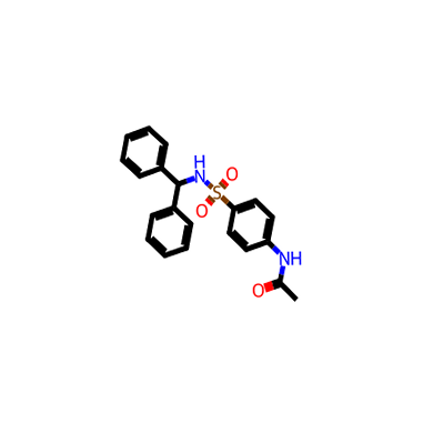 CC(=O)Nc1ccc(S(=O)(=O)NC(c2ccccc2)c2ccccc2)cc1